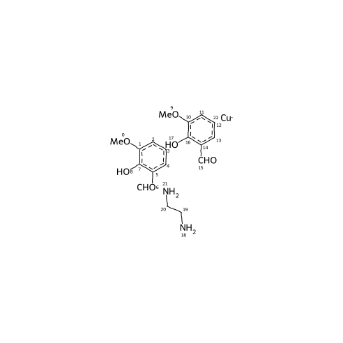 COc1cccc(C=O)c1O.COc1cccc(C=O)c1O.NCCN.[Cu]